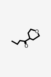 CCCC(=O)C1CCOCC1